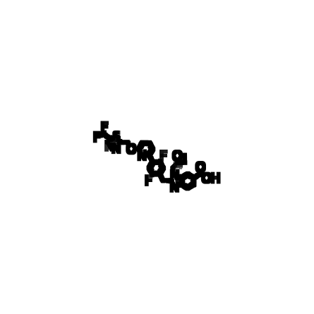 O=C(O)c1ccc2nc(Cc3cc(F)c(-c4cccc(OCc5nnc(C(F)F)s5)n4)cc3F)n(C[C@@H]3CCO3)c2c1